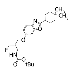 CC1(C)CCC(c2nc3ccc(OCC(=CF)CNC(=O)OC(C)(C)C)cc3o2)CC1